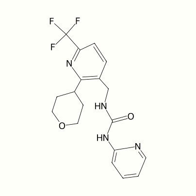 O=C(NCc1ccc(C(F)(F)F)nc1C1CCOCC1)Nc1ccccn1